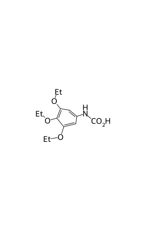 CCOc1cc(NC(=O)O)cc(OCC)c1OCC